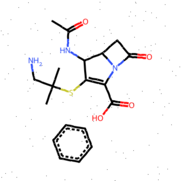 CC(=O)NC1C(SC(C)(C)CN)=C(C(=O)O)N2C(=O)CC12.c1ccccc1